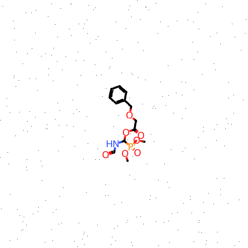 COP(=O)(OC)C(NC=O)OC(=O)COCc1ccccc1